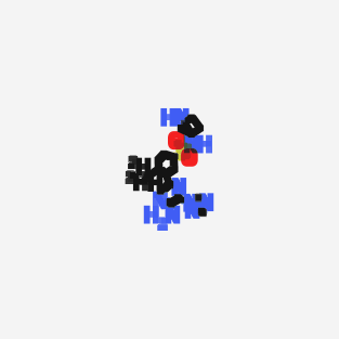 [2H]C([2H])([2H])c1ccc(S(=O)(=O)NC23CNC(C2)C3)cc1-c1cnc(N)c(-n2cncn2)n1